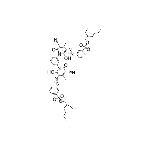 CCCCC(CC)COS(=O)(=O)c1cccc(/N=N/c2c(C)c(C#N)c(=O)n(-c3cccc(-n4c(O)c(/N=N/c5cccc(S(=O)(=O)OCC(CC)CCCC)c5)c(C)c(C#N)c4=O)c3)c2O)c1